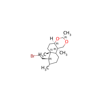 CC1CCC2[C@]3(C)CO[C@@H](C)O[C@@H]3CC[C@@]2(C)[C@@H]1CCBr